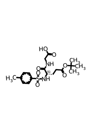 Cc1ccc(S(=O)(=O)N[C@@H](CCC(=O)OC(C)(C)C)C(=O)NCC(=O)O)cc1